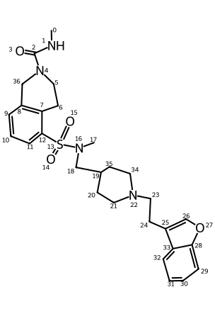 CNC(=O)N1CCc2c(cccc2S(=O)(=O)N(C)CC2CCN(CCc3coc4ccccc34)CC2)C1